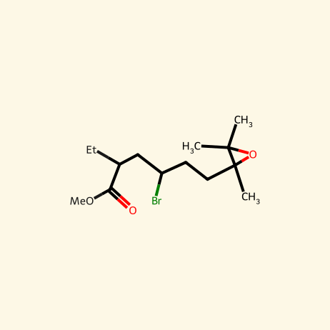 CCC(CC(Br)CCC1(C)OC1(C)C)C(=O)OC